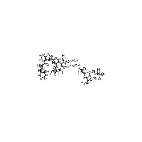 Cc1c(OC2CCC(CCC(=O)Nc3ccc4c(C5CCC(=O)NC5=O)nn(C)c4c3)CC2)cccc1-c1ccc(N2CCc3cccc(C(=O)Nc4nc5ccccc5s4)c3C2)nc1C(=O)OC(C)(C)C